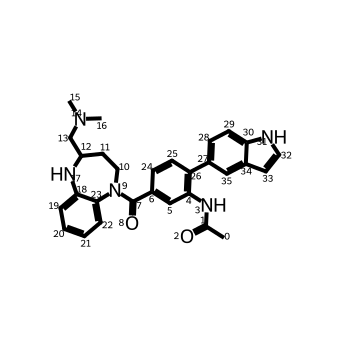 CC(=O)Nc1cc(C(=O)N2CCC(CN(C)C)Nc3ccccc32)ccc1-c1ccc2[nH]ccc2c1